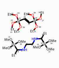 CCC(NCCNC(CC)[Si](OC)(OC)OC)[Si](OC)(OC)OC.CCO[Si](C=C[Si](OCC)(OCC)OCC)(OCC)OCC